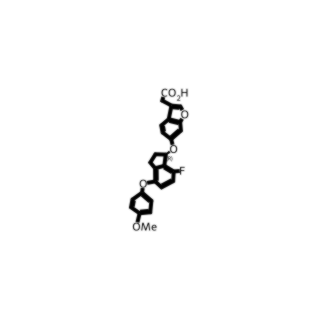 COc1ccc(Oc2ccc(F)c3c2CC[C@H]3Oc2ccc3c(CC(=O)O)coc3c2)cc1